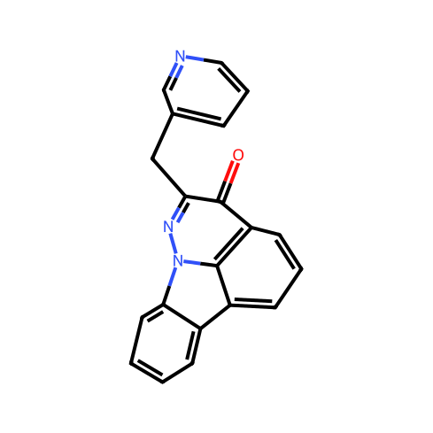 O=c1c(Cc2cccnc2)nn2c3ccccc3c3cccc1c32